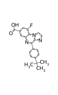 CC(C)(C)c1ccc(-c2nc3cc(C(=O)O)cc(F)c3n3ccnc23)cc1